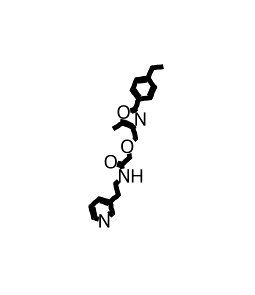 CCc1ccc(-c2nc(COCC(=O)NCCc3cccnc3)c(C)o2)cc1